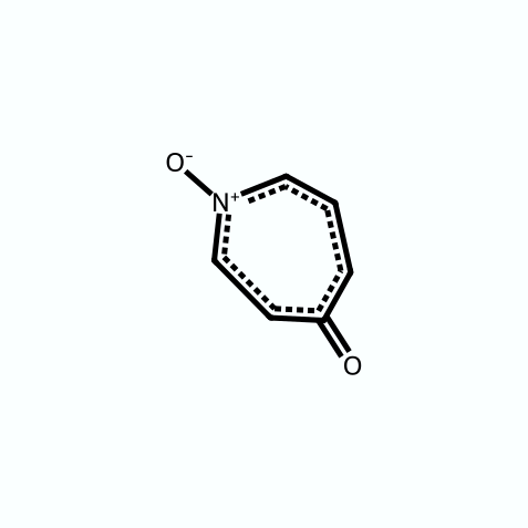 O=c1ccc[n+]([O-])cc1